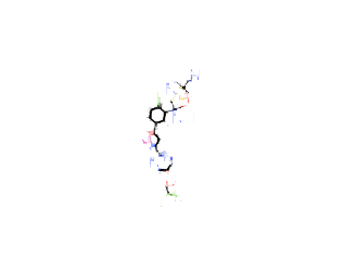 CN=S(=O)(CC(C)(N)c1cc(-c2cc(-c3ncc(OCC(F)F)cn3)no2)ccc1F)C(C)(C)C#N